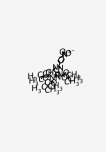 CC(C)(C)OC(=O)N(C(=O)OC(C)(C)C)c1nn(C(=O)OC(C)(C)C)c2nc(-c3ccc([N+](=O)[O-])cc3)ncc12